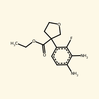 CCOC(=O)C1(c2ccc(N)c(N)c2F)CCOC1